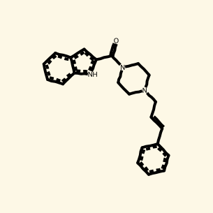 O=C(c1cc2ccccc2[nH]1)N1CCN(CC=Cc2ccccc2)CC1